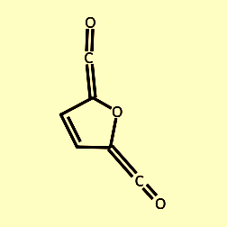 O=C=c1ccc(=C=O)o1